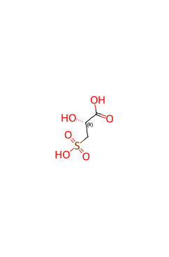 O=C(O)[C@@H](O)CS(=O)(=O)O